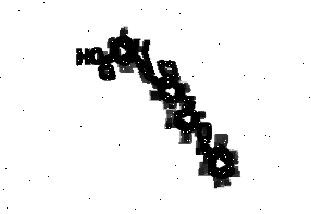 O=C(O)c1cccc(NCc2ccc(Sc3cccc(OCc4ccccc4)c3)cc2Cl)c1